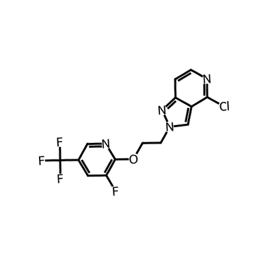 Fc1cc(C(F)(F)F)cnc1OCCn1cc2c(Cl)nccc2n1